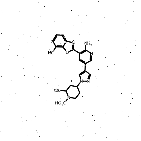 CC(C)(C)C1CC(n2cc(-c3cnc(N)c(-c4nc5cccc(C#N)c5o4)c3)cn2)CCN1C(=O)O